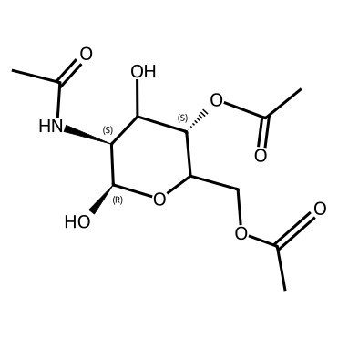 CC(=O)N[C@H]1C(O)[C@H](OC(C)=O)C(COC(C)=O)O[C@H]1O